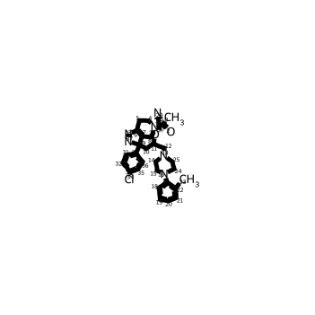 CC(=O)N1CCC2=C(C1)C(CC(CN1CCN(c3ccccc3C)CC1)OCC#N)(c1ccc(Cl)cc1)N=N2